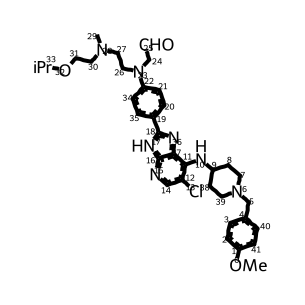 COc1ccc(CN2CCC(Nc3c(Cl)cnc4[nH]c(-c5ccc(N(CC=O)CCN(C)CCOC(C)C)cc5)nc34)CC2)cc1